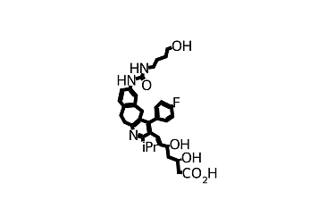 CC(C)c1nc2c(c(-c3ccc(F)cc3)c1/C=C/[C@@H](O)C[C@@H](O)CC(=O)O)Cc1cc(NC(=O)NCCCCO)ccc1CC2